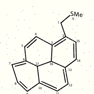 CSCC1=C2C=CC3=CC=CC4=CC=C(C=C1)C2C34